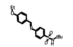 CCOc1ccc(C=Nc2ccc(S(=O)(=O)NC(C)(C)C)cc2)cc1